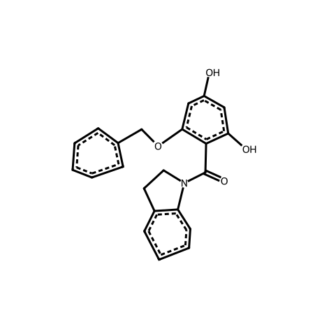 O=C(c1c(O)cc(O)cc1OCc1ccccc1)N1CCc2ccccc21